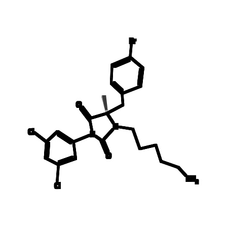 C[C@@]1(Cc2ccc(Br)cc2)C(=O)N(c2cc(Cl)cc(Cl)c2)C(=O)N1CCCCCN